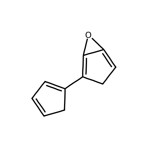 C1=CCC(C2=C3OC3=CC2)=C1